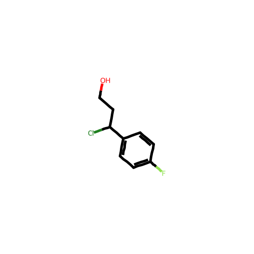 OCCC(Cl)c1ccc(F)cc1